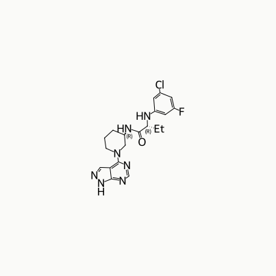 CC[C@@H](Nc1cc(F)cc(Cl)c1)C(=O)N[C@@H]1CCCN(c2ncnc3[nH]ncc23)C1